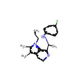 C=CCn1c(C)c(C)c2ccnc(C(C)Nc3ccc(F)cc3)c21